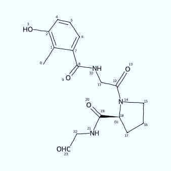 Cc1c(O)cccc1C(=O)NCC(=O)N1CCC[C@H]1C(=O)NCC=O